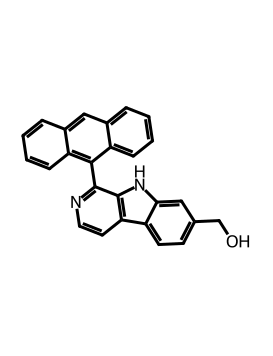 OCc1ccc2c(c1)[nH]c1c(-c3c4ccccc4cc4ccccc34)nccc12